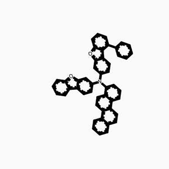 c1ccc(-c2cccc3oc4cc(N(c5ccc6c(c5)oc5ccccc56)c5cccc6c5ccc5c7ccccc7ccc65)ccc4c23)cc1